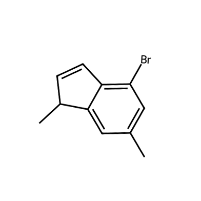 Cc1cc(Br)c2c(c1)C(C)C=C2